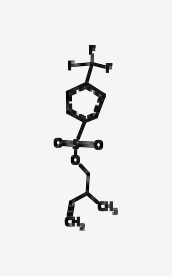 C=CC(C)COS(=O)(=O)c1ccc(C(F)(F)F)cc1